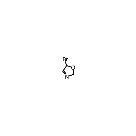 BrC1[C]=NCO1